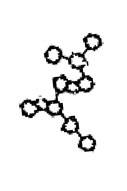 c1ccc(-c2ccc(-c3cc(-c4cccc5c4sc4cccc(-c6nc(-c7ccccc7)nc(-c7ccccc7)n6)c45)c4oc5ccccc5c4c3)cc2)cc1